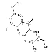 C[C@H](NC(=O)CN)C(=O)N[C@@H](C)C(=O)N[C@@H](CO)C(=O)O